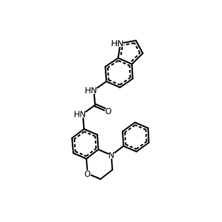 O=C(Nc1ccc2c(c1)N(c1ccccc1)CCO2)Nc1ccc2cc[nH]c2c1